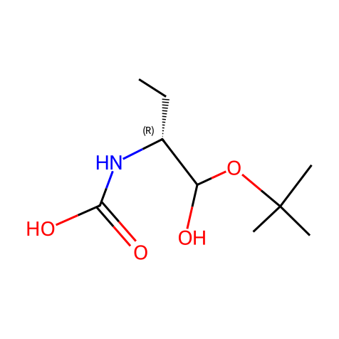 CC[C@@H](NC(=O)O)C(O)OC(C)(C)C